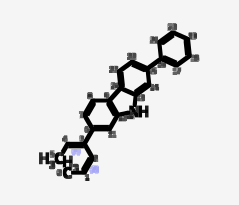 C/C=C\C(=C/C)c1ccc2c(c1)[nH]c1cc(-c3ccccc3)ccc12